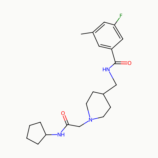 Cc1cc(F)cc(C(=O)NCC2CCN(CC(=O)NC3CCCC3)CC2)c1